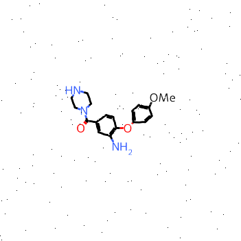 COc1ccc(Oc2ccc(C(=O)N3CCNCC3)cc2N)cc1